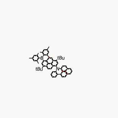 Cc1cc(C)c(B(c2c(C)cc(C)cc2C)c2cc(C(C)(C)C)c3ccc4c(N(c5ccc6ccccc6c5)c5ccccc5-c5ccccc5)cc(C(C)(C)C)c5ccc2c3c45)c(C)c1